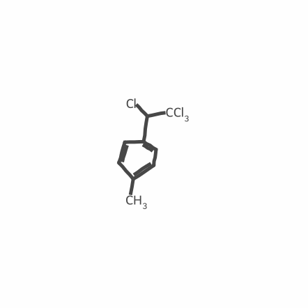 Cc1ccc(C(Cl)C(Cl)(Cl)Cl)cc1